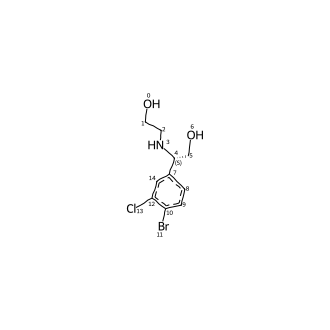 OCCN[C@H](CO)c1ccc(Br)c(Cl)c1